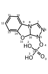 O=P(O)(O)ON1N=CN2c3ccccc3OC12